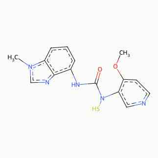 COc1ccncc1N(S)C(=O)Nc1cccc2c1ncn2C